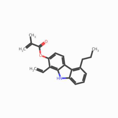 C=Cc1c(OC(=O)C(=C)C)ccc2c1[nH]c1cccc(CCC)c12